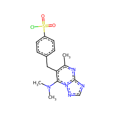 Cc1nc2ncnn2c(N(C)C)c1Cc1ccc(S(=O)(=O)Cl)cc1